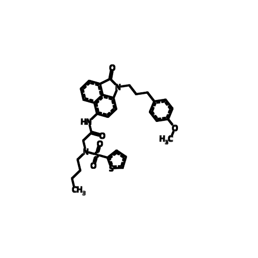 CCCCN(CC(=O)Nc1ccc2c3c(cccc13)C(=O)N2CCCc1ccc(OC)cc1)S(=O)(=O)c1cccs1